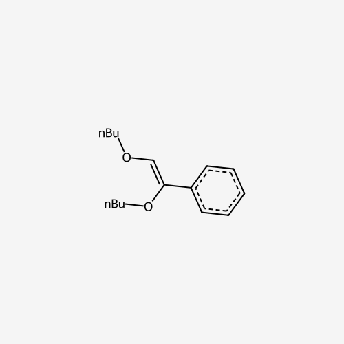 CCCCOC=C(OCCCC)c1ccccc1